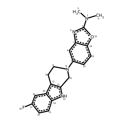 CN(C)c1nc2cc(N3CCc4c([nH]c5ccc(F)cc45)C3)ccc2o1